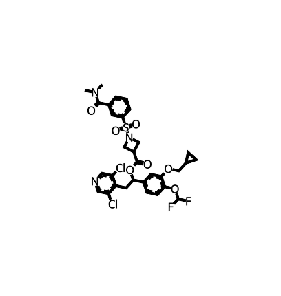 CN(C)C(=O)c1cccc(S(=O)(=O)N2CC(C(=O)OC(Cc3c(Cl)cncc3Cl)c3ccc(OC(F)F)c(OCC4CC4)c3)C2)c1